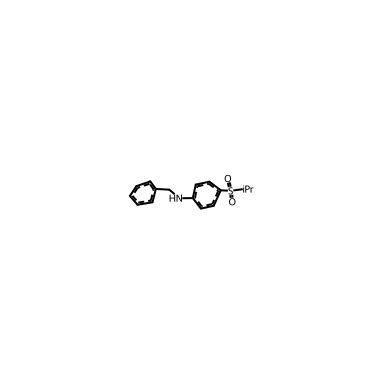 CC(C)S(=O)(=O)c1ccc(NCc2ccccc2)cc1